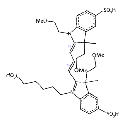 COCCN1/C(=C/C=C/C2=[N+](CCCCCC(=O)O)c3ccc(S(=O)(=O)O)cc3C2(C)CCOC)C(C)(CCOC)c2cc(S(=O)(=O)O)ccc21